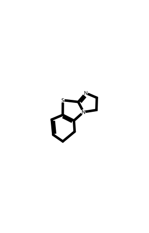 C1=CC2=C(CC1)N1CCN=C1S2